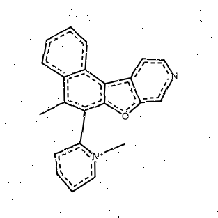 Cc1c(-c2cccc[n+]2C)c2oc3cnccc3c2c2ccccc12